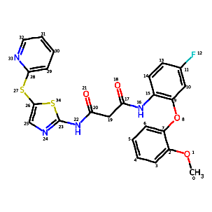 COc1ccccc1Oc1cc(F)ccc1NC(=O)CC(=O)Nc1ncc(Sc2ccccn2)s1